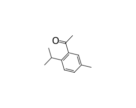 CC(=O)c1cc(C)ccc1C(C)C